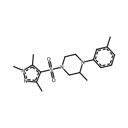 Cc1cccc(N2CCN(S(=O)(=O)c3c(C)nn(C)c3C)CC2C)c1